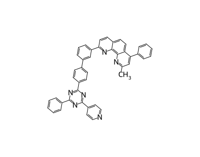 Cc1cc(-c2ccccc2)c2ccc3ccc(-c4cccc(-c5ccc(-c6nc(-c7ccccc7)nc(-c7ccncc7)n6)cc5)c4)nc3c2n1